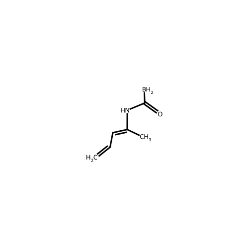 BC(=O)N/C(C)=C/C=C